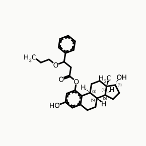 CCCOC(CC(=O)Oc1cc(O)cc2c1[C@H]1CC[C@]3(C)[C@H](O)CC[C@H]3[C@@H]1CC2)c1ccccc1